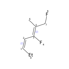 CC/C=C\C(F)=C(/C)CF